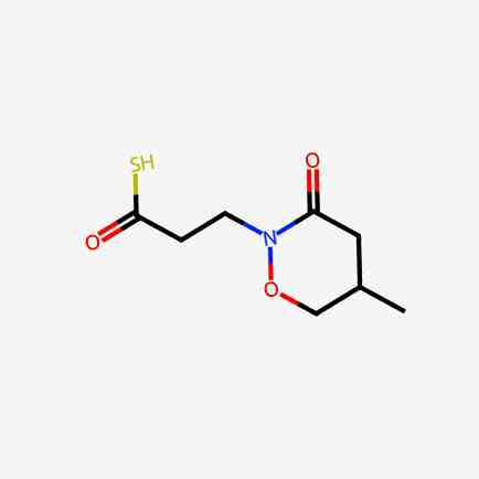 CC1CON(CCC(=O)S)C(=O)C1